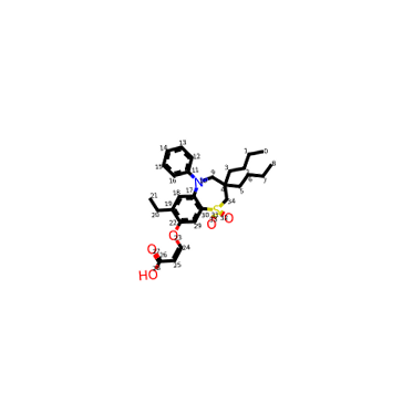 CCCCC1(CCCC)CN(c2ccccc2)c2cc(CC)c(O/C=C\C(=O)O)cc2S(=O)(=O)C1